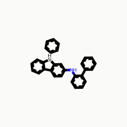 c1ccc(-c2ccccc2Nc2ccc3c(c2)[SiH](c2ccccc2)c2ccccc2-3)cc1